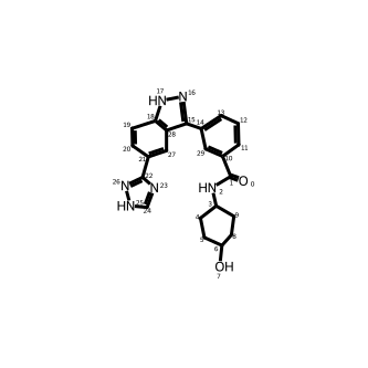 O=C(NC1CCC(O)CC1)c1cccc(-c2n[nH]c3ccc(-c4nc[nH]n4)cc23)c1